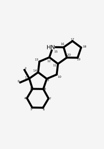 CC1(C)C2CCCCC2C2CC3C(CC21)NC1CCCC13